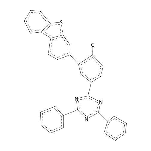 Clc1ccc(-c2nc(-c3ccccc3)nc(-c3ccccc3)n2)cc1-c1ccc2c(c1)sc1ccccc12